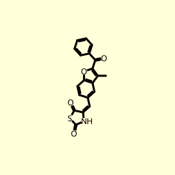 Cc1c(C(=O)c2ccccc2)oc2ccc(C=C3NC(=O)SC3=O)cc12